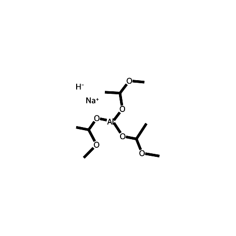 COC(C)[O][Al]([O]C(C)OC)[O]C(C)OC.[H-].[Na+]